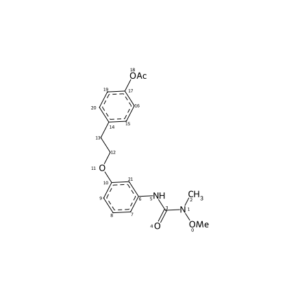 CON(C)C(=O)Nc1cccc(OCCc2ccc(OC(C)=O)cc2)c1